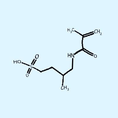 C=C(C)C(=O)NCC(C)CCS(=O)(=O)O